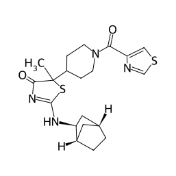 CC1(C2CCN(C(=O)c3cscn3)CC2)SC(N[C@H]2C[C@@H]3CC[C@H]2C3)=NC1=O